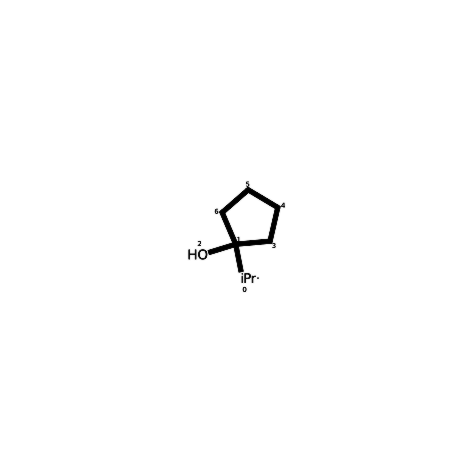 C[C](C)C1(O)CCCC1